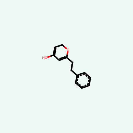 OC1=CCOC(CCc2ccccc2)=C1